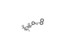 CC(=O)[C@@H](N)CNC(=O)Cc1cccc(OCc2cccc3ccccc23)c1